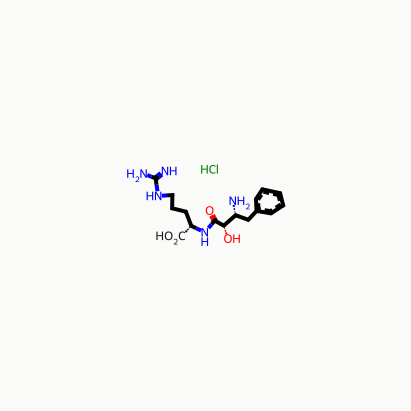 Cl.N=C(N)NCCC[C@H](NC(=O)[C@@H](O)[C@H](N)Cc1ccccc1)C(=O)O